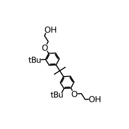 CC(C)(C)c1cc(C(C)(C)c2ccc(OCCO)c(C(C)(C)C)c2)ccc1OCCO